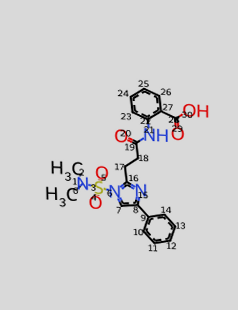 CN(C)S(=O)(=O)n1cc(-c2ccccc2)nc1CCC(=O)Nc1ccccc1C(=O)O